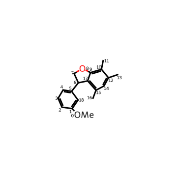 COc1cccc(C2COc3c(C)c(C)cc(C)c32)c1